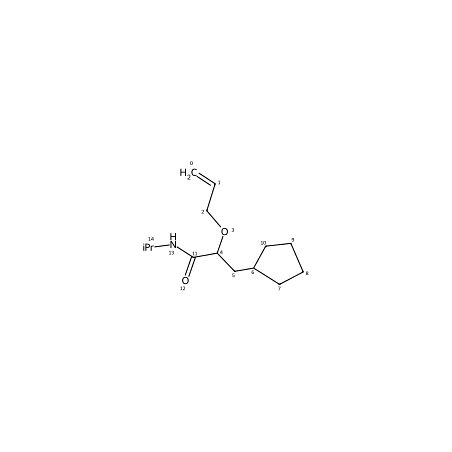 C=CCOC(CC1CCCC1)C(=O)NC(C)C